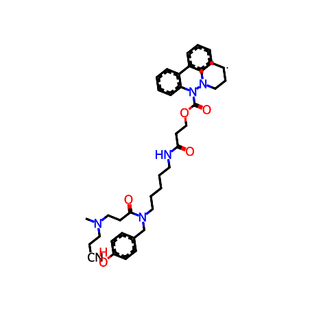 CN(CCC#N)CCC(=O)N(CCCCCNC(=O)CCOC(=O)N(c1ccccc1-c1ccccc1)N1CC[CH]CC1)Cc1ccc(O)cc1